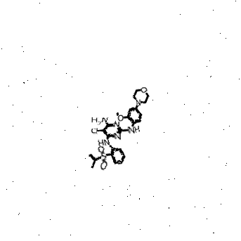 COc1cc(N2CCOCC2)ccc1Nc1nc(N)c(Cl)c(Nc2ccccc2S(=O)(=O)C(C)C)n1